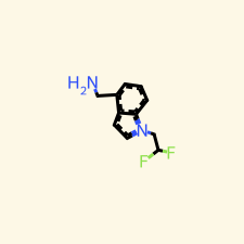 NCc1cccc2c1ccn2CC(F)F